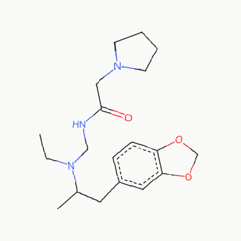 CCN(CNC(=O)CN1CCCC1)C(C)Cc1ccc2c(c1)OCO2